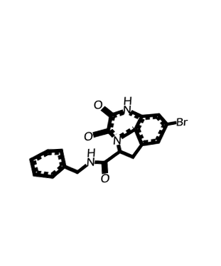 O=C(NCc1ccccc1)C1Cc2cc(Br)cc3[nH]c(=O)c(=O)n1c23